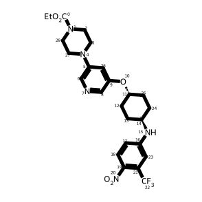 CCOC(=O)N1CCN(c2cncc(O[C@H]3CC[C@H](Nc4ccc([N+](=O)[O-])c(C(F)(F)F)c4)CC3)c2)CC1